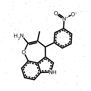 CC1=C(N)Oc2cccc3[nH]cc(c23)C1c1cccc([N+](=O)[O-])c1